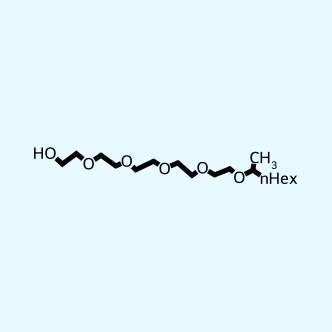 CCCCCCC(C)OCCOCCOCCOCCOCCO